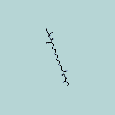 CC/C(C)=N/NC(=O)CCCCCCCCCCC(=O)N/N=C(\C)CC